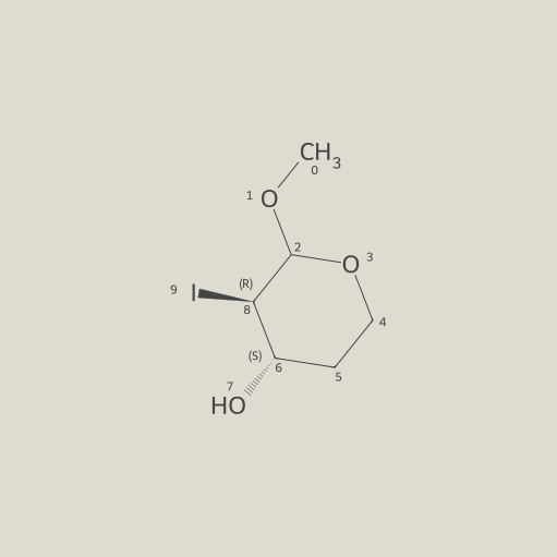 COC1OCC[C@H](O)[C@H]1I